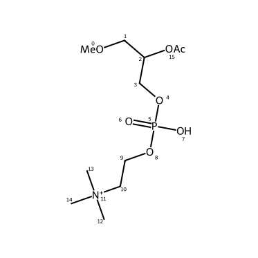 COCC(COP(=O)(O)OCC[N+](C)(C)C)OC(C)=O